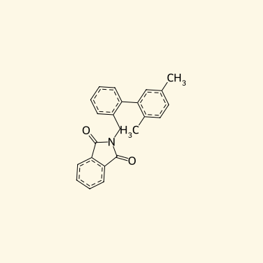 Cc1ccc(C)c(-c2ccccc2CN2C(=O)c3ccccc3C2=O)c1